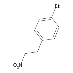 CCc1ccc(CC[N+](=O)[O-])cc1